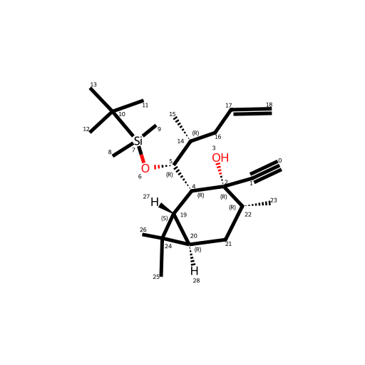 C#C[C@]1(O)[C@@H]([C@H](O[Si](C)(C)C(C)(C)C)[C@H](C)CC=C)[C@@H]2[C@@H](C[C@H]1C)C2(C)C